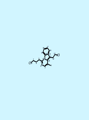 Cc1cnc(CCCCl)n2c1c(CCCl)c1ccccc12